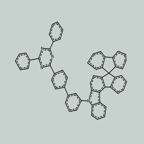 c1ccc(-c2nc(-c3ccccc3)nc(-c3ccc(-c4cccc(-n5c6ccccc6c6c7c(ccc65)C5(c6ccccc6-c6ccccc65)c5ccccc5-7)c4)cc3)n2)cc1